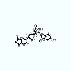 COc1ccc2c(c1)C(=O)N(C[C@@]1(c3ccc(-c4ccc5cnn(C)c5c4)cc3)NC(=O)NC1=O)C2